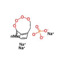 CCCCCCCCCc1c2cccc1OOOOCC2.O=P([O-])([O-])[O-].[Na+].[Na+].[Na+]